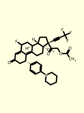 CC(=O)OCC(=O)[C@@]1(C#CC(F)(F)F)CC[C@H]2[C@@H]3CC(F)C4=CC(=O)C[C@@H](c5ccc(N6CCCCC6)cc5)C4=C3CC[C@@]21C